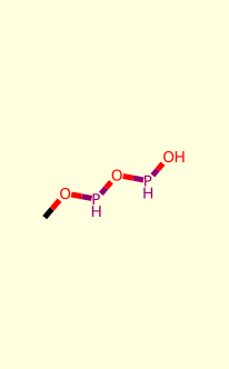 COPOPO